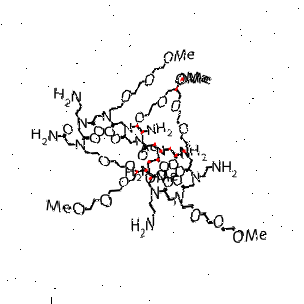 COCCOCCOCCN(CC(N)=O)C(=O)CN(CCN)C(=O)CN(CCOCCOCCOC)C(=O)CN(CCN)C(=O)CN(CCOCCOCCOC)C(=O)CN(CCN)C(=O)CN(CCOCCOCCOC)C(=O)CN(CCN)C(=O)CN(CCOCCOCCOC)C(=O)CN(CCN)C(=O)CN(CCOCCOCCOC)C(=O)CN(CCN)C(C)=O